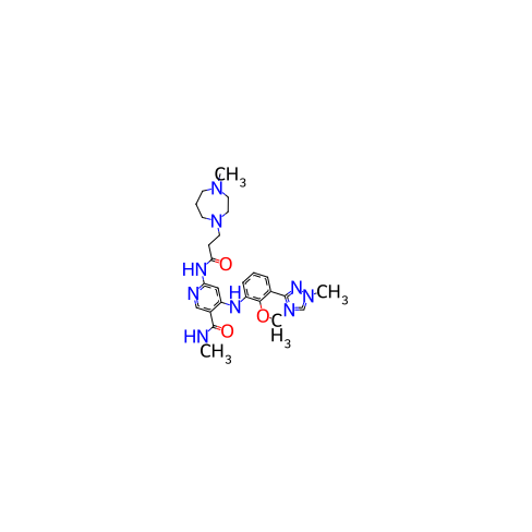 CNC(=O)c1cnc(NC(=O)CCN2CCCN(C)CC2)cc1Nc1cccc(-c2ncn(C)n2)c1OC